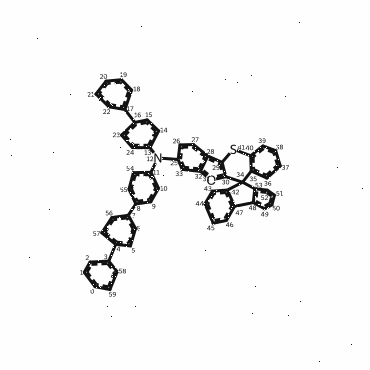 c1ccc(-c2ccc(-c3ccc(N(c4ccc(-c5ccccc5)cc4)c4ccc5c6c(oc5c4)C4(c5ccccc5S6)c5ccccc5-c5ccccc54)cc3)cc2)cc1